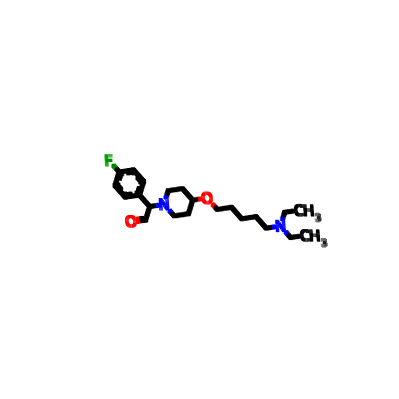 CCN(CC)CCCCCOC1CCN(C(C=O)c2ccc(F)cc2)CC1